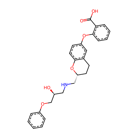 O=C(O)c1ccccc1Oc1ccc2c(c1)CC[C@H](CNC[C@H](O)COc1ccccc1)O2